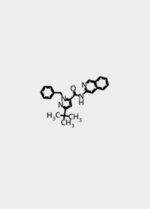 CC(C)(C)c1cc(C(=O)Nc2cc3ccccc3cn2)n(Cc2ccccc2)n1